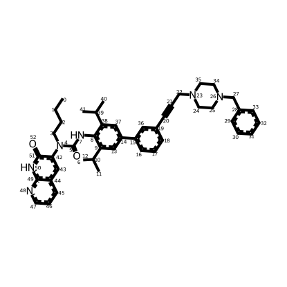 CCCCN(C(=O)Nc1c(C(C)C)cc(-c2cccc(C#CCN3CCN(Cc4ccccc4)CC3)c2)cc1C(C)C)c1cc2cccnc2[nH]c1=O